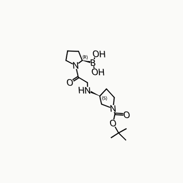 CC(C)(C)OC(=O)N1CC[C@H](NCC(=O)N2CCC[C@H]2B(O)O)C1